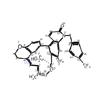 C/N=C\C=C1\CCOc2ccc(-c3c([C@H](OC(C)(C)C)C(=O)O)c(C)cc4c3ccc(=O)n4Cc3ccc(C(F)(F)F)cc3)cc21